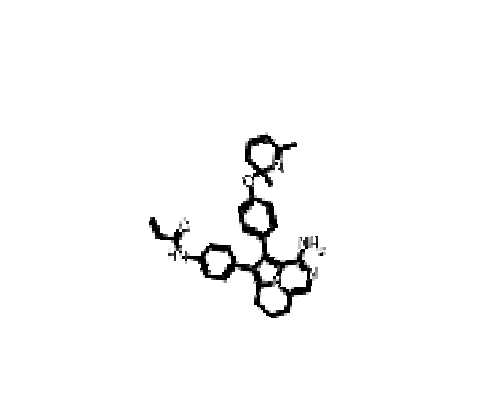 C=CC(=O)Nc1ccc(-c2c(-c3ccc(OC4(C)CC=CC(C)=N4)cc3)c3c(N)ncc4n3c2CCC4)cc1